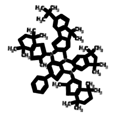 Cc1cc2c(cc1N1c3cc4c(cc3B3c5cc6c(cc5N(c5cc7c(cc5C)C(C)(C)CCC7(C)C)c5cc(-c7ccccc7)cc1c53)C(C)(C)CC6(C)C)C(C)(C)c1ccc(C(C)(C)C)cc1-4)C(C)(C)CCC2(C)C